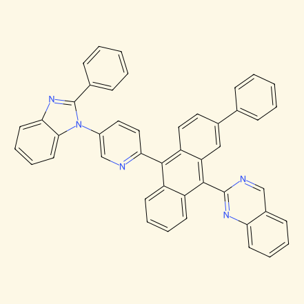 c1ccc(-c2ccc3c(-c4ccc(-n5c(-c6ccccc6)nc6ccccc65)cn4)c4ccccc4c(-c4ncc5ccccc5n4)c3c2)cc1